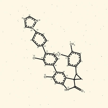 Cc1ccc(C2CC23C(=O)Nc2cc(Cl)c(-c4ccc(-c5ccc(-n6cncn6)cc5)c(Cl)c4)cc23)cc1C(=O)O